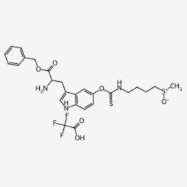 C[S+]([O-])CCCCNC(=S)Oc1ccc2[nH]cc(CC(N)C(=O)OCc3ccccc3)c2c1.O=C(O)C(F)(F)F